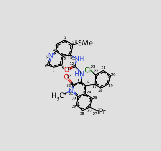 CSc1ccc2ncccc2c1NC(=O)Nc1c(-c2ccccc2Cl)c2cc(C(C)C)ccc2n(C)c1=O